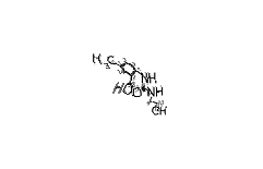 Cc1ccc(NC(=O)NCCO)c(O)c1